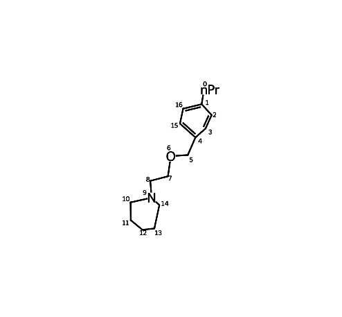 CCCc1ccc(COCCN2CCCCC2)cc1